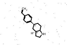 C=Cc1ccc([C@H]2CCC3NCC[C@H]3C2)cc1